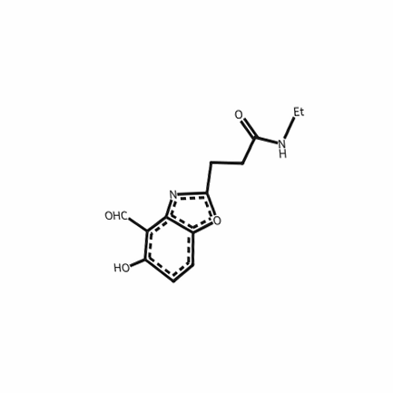 CCNC(=O)CCc1nc2c(C=O)c(O)ccc2o1